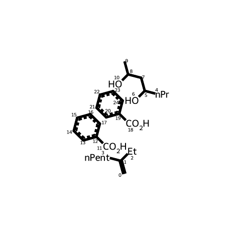 C=C(CC)CCCCC.CCCC(O)CC(C)O.O=C(O)c1ccccc1.O=C(O)c1ccccc1